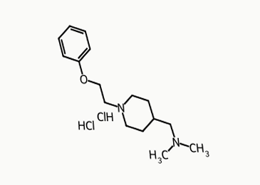 CN(C)CC1CCN(CCOc2ccccc2)CC1.Cl.Cl